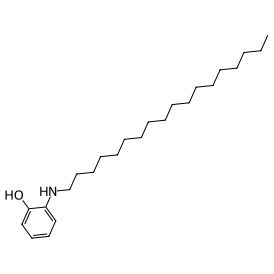 CCCCCCCCCCCCCCCCCCNc1ccccc1O